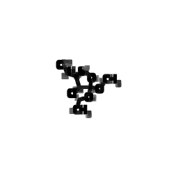 CCOC(OC)(O[SiH3])C(Cl)CCCl